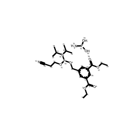 CCOC(=O)c1cc(COP(OCCC#N)N(C(C)C)C(C)C)cc(C(=O)OCC)c1.NP(O)O